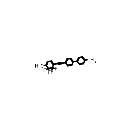 CC1=CC=C(C#Cc2ccc(-c3ccc(C)cc3)cc2)C(F)(F)C1(F)F